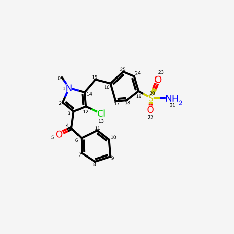 Cn1cc(C(=O)c2ccccc2)c(Cl)c1Cc1ccc(S(N)(=O)=O)cc1